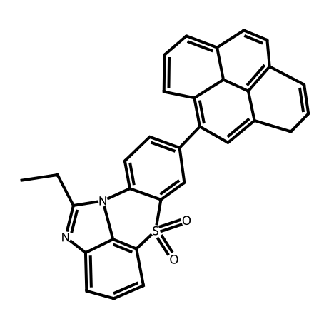 CCc1nc2cccc3c2n1-c1ccc(C2=C4C=CC=C5C=CC6=C(C(=C2)CC=C6)C54)cc1S3(=O)=O